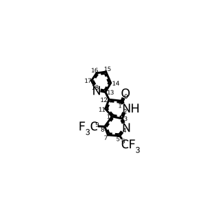 O=c1[nH]c2nc(C(F)(F)F)cc(C(F)(F)F)c2cc1-c1ccccn1